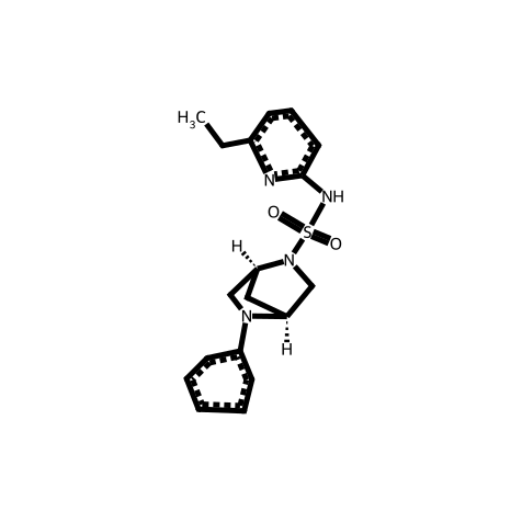 CCc1cccc(NS(=O)(=O)N2C[C@@H]3C[C@H]2CN3c2ccccc2)n1